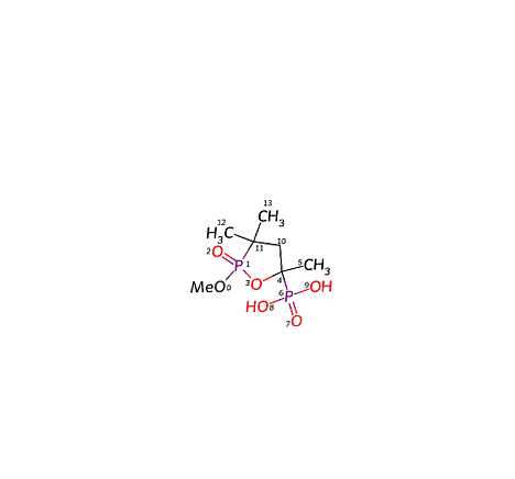 COP1(=O)OC(C)(P(=O)(O)O)CC1(C)C